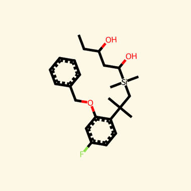 CCC(O)CC(O)[Si](C)(C)CC(C)(C)c1ccc(F)cc1OCc1ccccc1